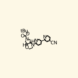 CC(C)(C)OC(=O)N1C[C@H]2OCCN(c3ccc(-c4cc(C#N)ccn4)cn3)[C@H]2C1